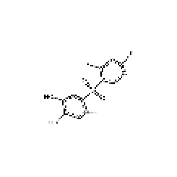 Cc1cc(O)c(O)cc1S(=O)(=O)c1ccc(F)cc1F